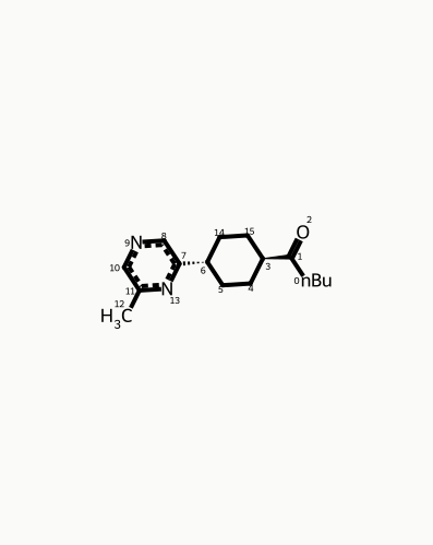 CCCCC(=O)[C@H]1CC[C@H](c2cncc(C)n2)CC1